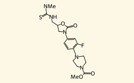 CNC(=S)NCC1CN(c2ccc(N3CCN(C(=O)OC)CC3)c(F)c2)C(=O)O1